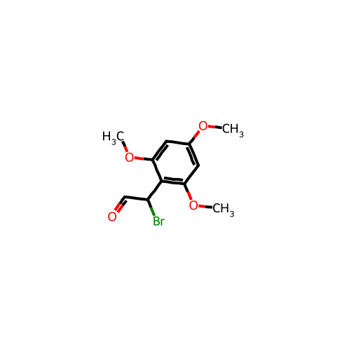 COc1cc(OC)c(C(Br)C=O)c(OC)c1